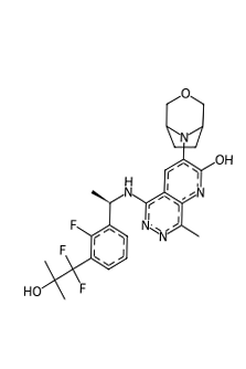 Cc1nnc(N[C@H](C)c2cccc(C(F)(F)C(C)(C)O)c2F)c2cc(N3C4CCC3COC4)c(O)nc12